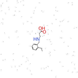 CCc1ccccc1CNCCC(=O)O